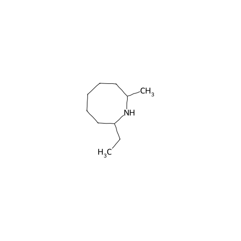 CCC1CCCCCC(C)N1